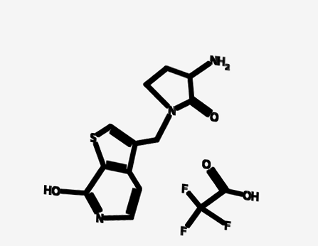 NC1CCN(Cc2csc3c(O)nccc23)C1=O.O=C(O)C(F)(F)F